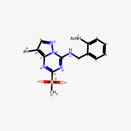 CC(=O)Nc1ccccc1CNc1nc(S(C)(=O)=O)nc2c(C(C)C)cnn12